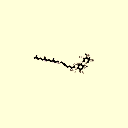 CNC1CC(N)C(OC(O)C(N)CCC#CC/N=C/C=C(\C)CC/C=C(\C)CCC=C(C)C)C(O)C1OC1OCC(C)(O)C(NC)C1O